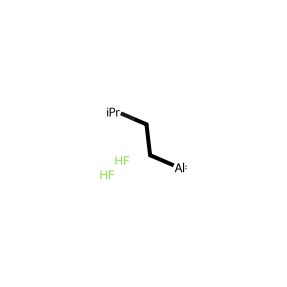 CC(C)C[CH2][Al].F.F